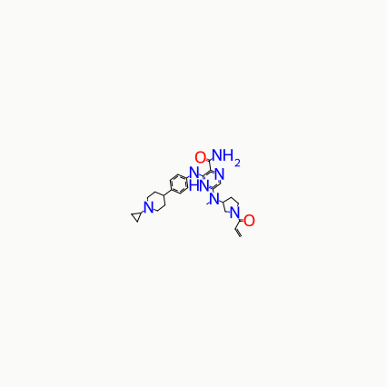 C=CC(=O)N1CCC(N(C)c2cnc(C(N)=O)c(Nc3ccc(C4CCN(C5CC5)CC4)cc3)n2)C1